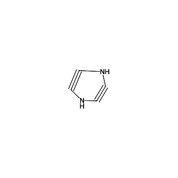 C1#CNC#CN1